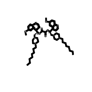 CCCCCCCCN1CCN(C[C@@H](OC(=O)C(=O)O[C@H](CN2CCN(CCCCCCCC)CC2)c2ccnc3ccc(OC)cc23)c2ccnc3ccc(OC)cc23)CC1